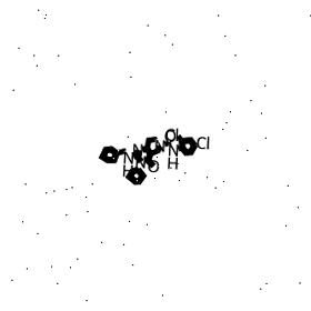 O=C(Nc1ccc(Cl)cc1Cl)N1CCc2nc(NCc3ccccc3)n(-c3ccccc3)c(=O)c2C1